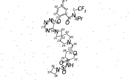 CC(C)N(CC(F)(F)F)C(=O)c1cc(F)ccc1Oc1nncnc1N1CC2(CCN(C[C@@H]3CC[C@@H](NS(=O)(=O)N4CCC4)CO3)CC2)C1